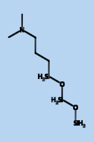 CN(C)CCC[SiH2]O[SiH2]O[SiH3]